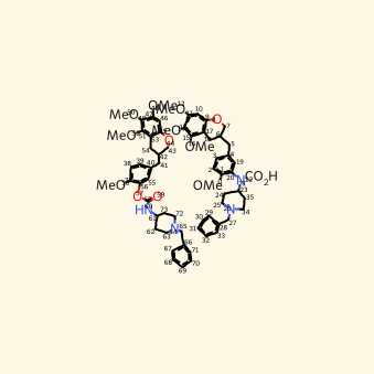 COc1ccc(CC2COc3cc(OC)c(OC)c(OC)c3C2)cc1N(C(=O)O)C1CCN(Cc2ccccc2)CC1.COc1ccc(CC2COc3cc(OC)c(OC)c(OC)c3C2)cc1OC(=O)NC1CCN(Cc2ccccc2)CC1